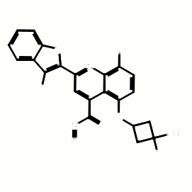 Cc1c(-c2cc(C(=O)N=O)c3c(OC4CC(C)(C)C4)ccc(C)c3n2)oc2ccccc12